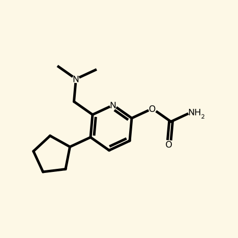 CN(C)Cc1nc(OC(N)=O)ccc1C1CCCC1